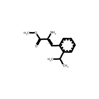 COC(=O)/C(N)=C/c1ccccc1C(C)C